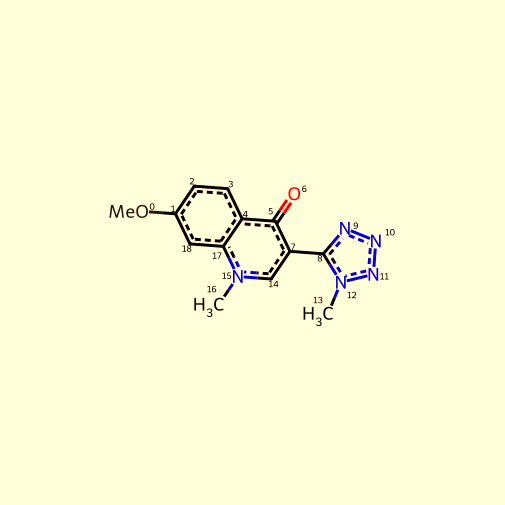 COc1ccc2c(=O)c(-c3nnnn3C)cn(C)c2c1